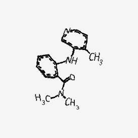 Cc1ccncc1Nc1ccccc1C(=O)N(C)C